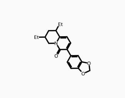 CCC1CC(CC)c2ccc(-c3ccc4c(c3)OCO4)c(=O)n2C1